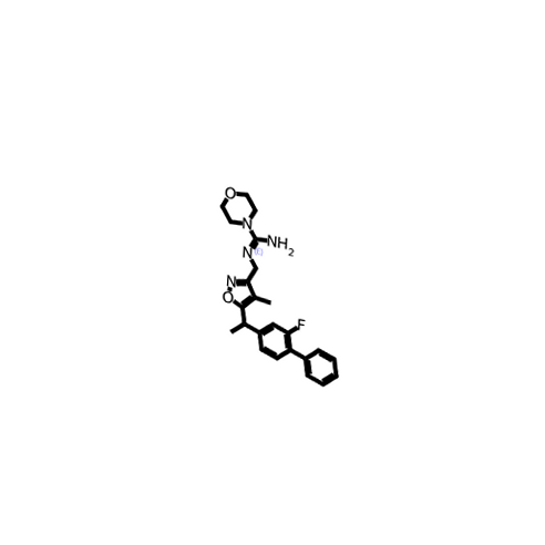 Cc1c(C/N=C(\N)N2CCOCC2)noc1C(C)c1ccc(-c2ccccc2)c(F)c1